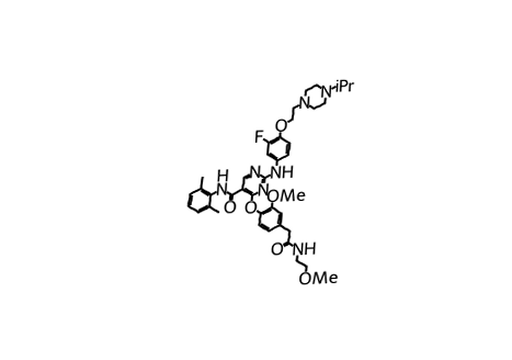 COCCNC(=O)Cc1ccc(Oc2nc(Nc3ccc(OCCN4CCN(C(C)C)CC4)c(F)c3)ncc2C(=O)Nc2c(C)cccc2C)c(OC)c1